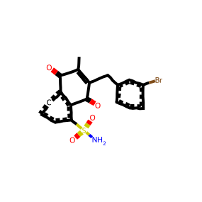 CC1=C(Cc2cccc(Br)c2)C(=O)c2c(cccc2S(N)(=O)=O)C1=O